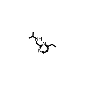 CCc1ccnc(CNC(C)C)n1